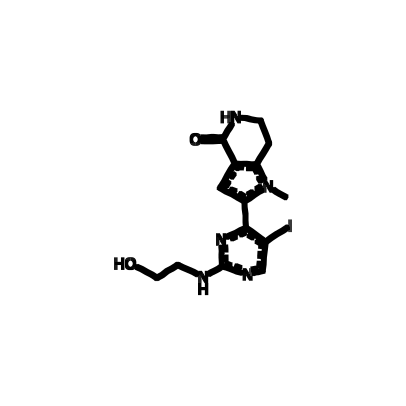 Cn1c(-c2nc(NCCO)ncc2I)cc2c1CCNC2=O